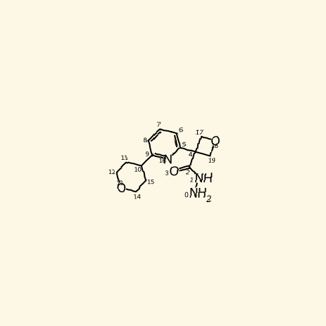 NNC(=O)C1(c2cccc(C3CCOCC3)n2)COC1